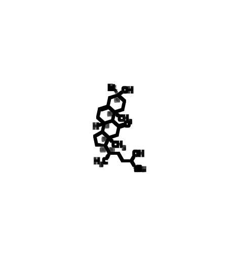 CC[C@]1(O)CC[C@@]2(C)C(=CC[C@@H]3C2C(=O)C[C@@]2(C)C3CC[C@@H]2[C@H](C)CCC(O)C(C)(C)C)C1